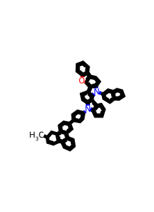 CC1C=Cc2c(c3ccc(-c4ccc(-n5c6ccccc6c6c5ccc5c7c8oc9ccccc9c8ccc7n(-c7ccc8ccccc8c7)c56)cc4)cc3c3ccccc23)C1